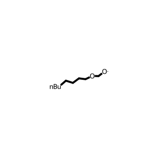 CCCCCCCCOC[O]